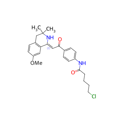 COc1ccc2c(c1)/C(=C/C(=O)c1ccc(NC(=O)CCCCCl)cc1)NC(C)(C)C2